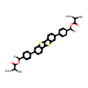 CCCCCCC(CCCC)C(=O)OC(CC)c1ccc(-c2ccc3c(c2)sc2c4ccc(C5=CCC(C(CC)OC(=O)C(CCCC)CCCCCC)C=C5)cc4sc32)cc1